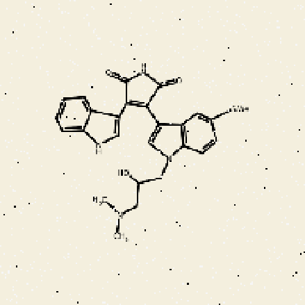 CSc1ccc2c(c1)c(C1=C(c3c[nH]c4ccccc34)C(=O)NC1=O)cn2CC(O)CN(C)C